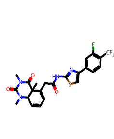 CN1C(=O)N(C)C2C=CC=C(CC(=O)Nc3nc(-c4ccc(C(F)(F)F)c(F)c4)cs3)C2(C)C1=O